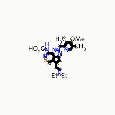 CCN(CC)CCc1cc2nn(Cc3ncc(C)c(OC)c3C)nc3c-2c1CSN=C3NC(=O)O